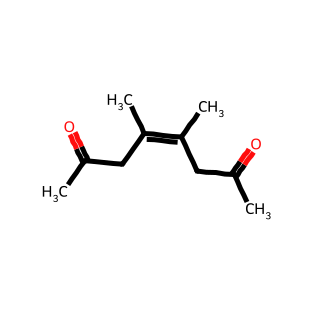 CC(=O)C/C(C)=C(/C)CC(C)=O